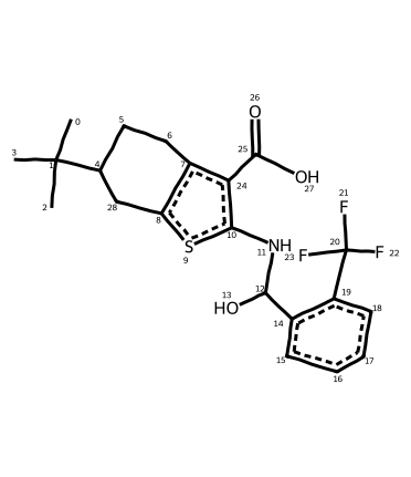 CC(C)(C)C1CCc2c(sc(NC(O)c3ccccc3C(F)(F)F)c2C(=O)O)C1